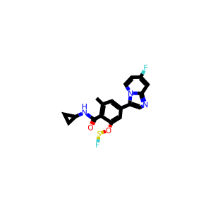 Cc1cc(-c2cnc3cc(F)ccn23)cc(OSF)c1C(=O)NC1CC1